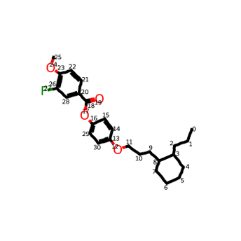 CCCC1CCCCC1CCCOc1ccc(OC(=O)c2ccc(OC)c(F)c2)cc1